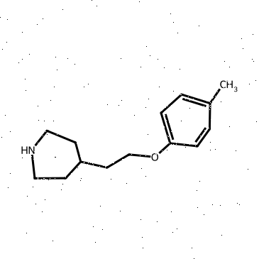 Cc1ccc(OCCC2CCNCC2)cc1